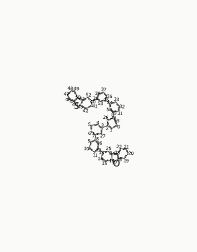 c1cc(-c2cccc(-c3cccc(-c4ccc5oc6ccccc6c5c4)c3)c2)cc(-c2cccc(-c3cccc(-c4ccc5sc6ccccc6c5c4)c3)c2)c1